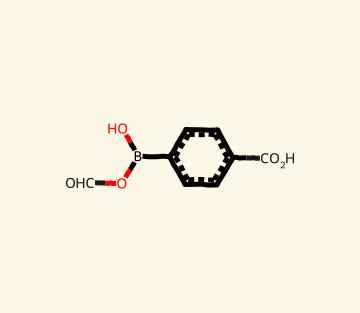 O=COB(O)c1ccc(C(=O)O)cc1